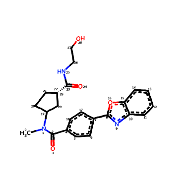 CN(C(=O)c1ccc(-c2nc3ccccc3o2)cc1)C1CC[C@H](C(=O)NCCO)C1